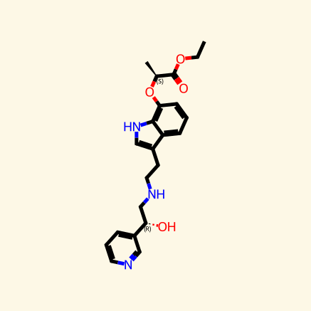 CCOC(=O)[C@H](C)Oc1cccc2c(CCNC[C@H](O)c3cccnc3)c[nH]c12